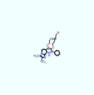 COCCO[C@@H]1c2ccn3c(C)c(C)nc3c2N[C@H](c2ccccc2)[C@H]1OCCCCCBr